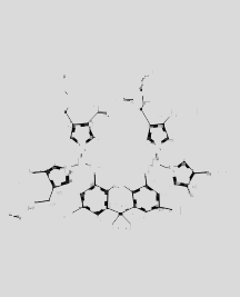 CCOOCc1cn(P(Oc2cc(C(C)(C)C)cc3c2Oc2c(OP(n4cc(COOCC)c(C(=O)OCC)c4)n4cc(C(=O)OCC)c(C(=O)OCC)c4)cc(C(C)(C)C)cc2C3(C)C)n2cc(COOCC)c(C(=O)OCC)c2)cc1COOCC